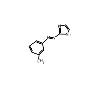 Cc1cccc(N=Nc2ncc[nH]2)c1